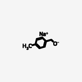 Cc1ccc(C[O-])cc1.[Na+]